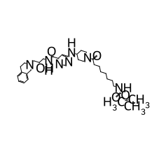 CC(C)(C)OC(=O)NCCCCCCCC(=O)N1CCC(Nc2cc(C(=O)NC[C@H](O)CN3CCc4ccccc4C3)ncn2)CC1